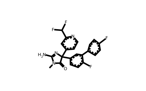 CN1C(=O)C(c2ccnc(C(F)F)c2)(c2ccc(F)c(-c3ccc(F)cc3)c2)N=C1N